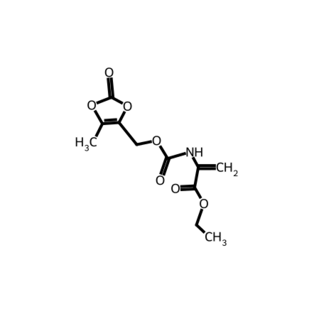 C=C(NC(=O)OCc1oc(=O)oc1C)C(=O)OCC